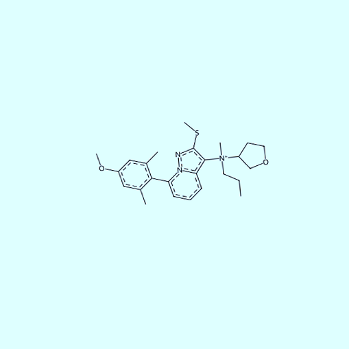 CCC[N+](C)(c1c(SC)nn2c(-c3c(C)cc(OC)cc3C)cccc12)C1CCOC1